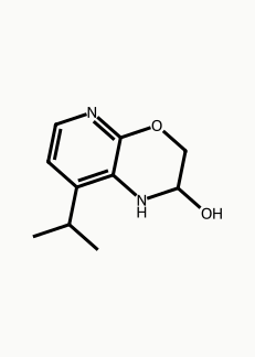 CC(C)c1ccnc2c1NC(O)CO2